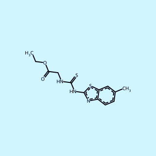 CCOC(=O)CNC(=S)Nc1nc2ccc(C)cc2s1